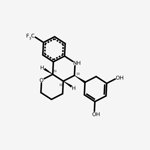 OC1=CC([C@@H]2Nc3ccc(C(F)(F)F)cc3[C@H]3OCCC[C@H]32)CC(O)=C1